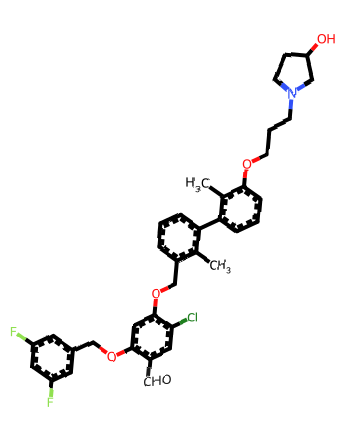 Cc1c(COc2cc(OCc3cc(F)cc(F)c3)c(C=O)cc2Cl)cccc1-c1cccc(OCCCN2CCC(O)C2)c1C